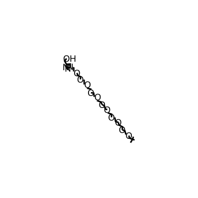 CC(C)(C)COCCOCCOCCOCCOCCOCCOCCOCCOCCOCCOCCn1cc(CO)nn1